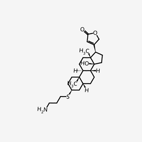 C[C@]12CC[C@H](SCCCN)C[C@H]1CC[C@@H]1[C@@H]2CC[C@]2(C)[C@@H](C3=CC(=O)OC3)CC[C@]12O